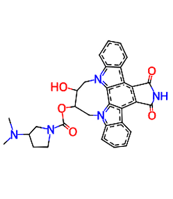 CN(C)C1CCN(C(=O)OC2Cn3c4ccccc4c4c5c(c6c7ccccc7n(c6c43)CC2O)C(=O)NC5=O)C1